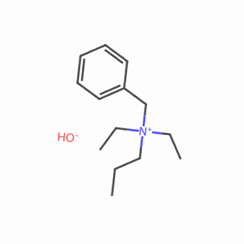 CCC[N+](CC)(CC)Cc1ccccc1.[OH-]